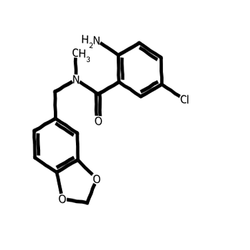 CN(Cc1ccc2c(c1)OCO2)C(=O)c1cc(Cl)ccc1N